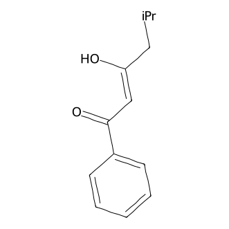 CC(C)C/C(O)=C/C(=O)c1ccccc1